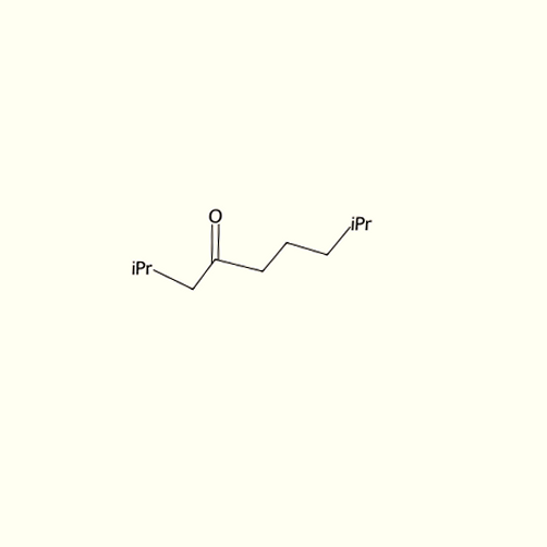 CC(C)CCCC(=O)CC(C)C